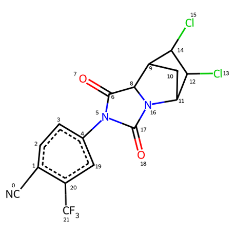 N#Cc1ccc(N2C(=O)C3C4CC(C(Cl)C4Cl)N3C2=O)cc1C(F)(F)F